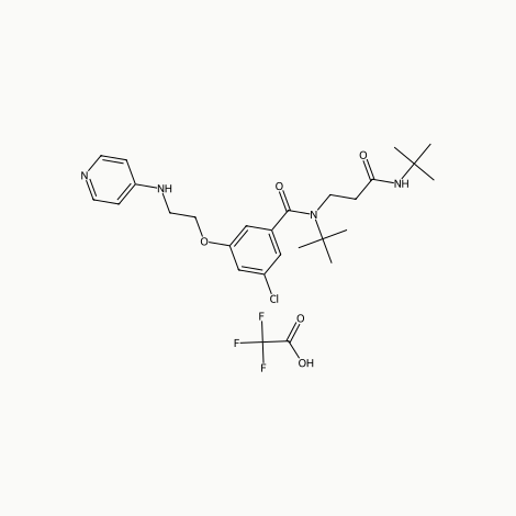 CC(C)(C)NC(=O)CCN(C(=O)c1cc(Cl)cc(OCCNc2ccncc2)c1)C(C)(C)C.O=C(O)C(F)(F)F